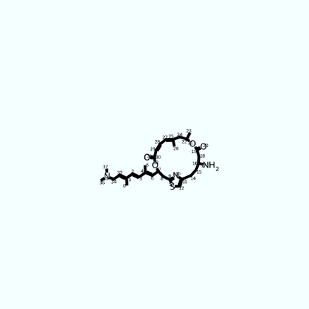 CC(/C=C/C(C)=C/C1Cc2nc(cs2)CCC(N)CC(=O)OC(C)C/C(C)=C/C=C\C(=O)O1)=C\CN(C)C